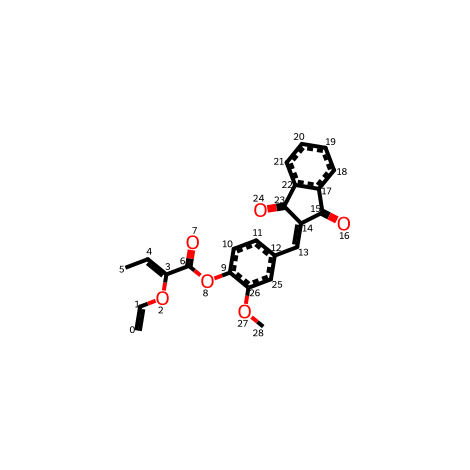 C=CO/C(=C\C)C(=O)Oc1ccc(C=C2C(=O)c3ccccc3C2=O)cc1OC